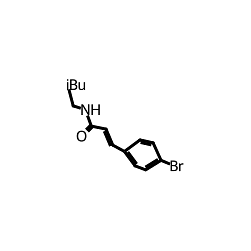 CCC(C)CNC(=O)C=Cc1ccc(Br)cc1